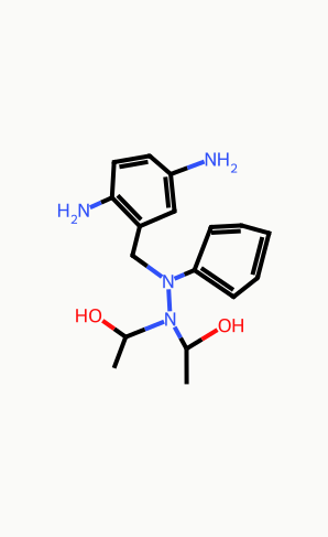 CC(O)N(C(C)O)N(Cc1cc(N)ccc1N)c1ccccc1